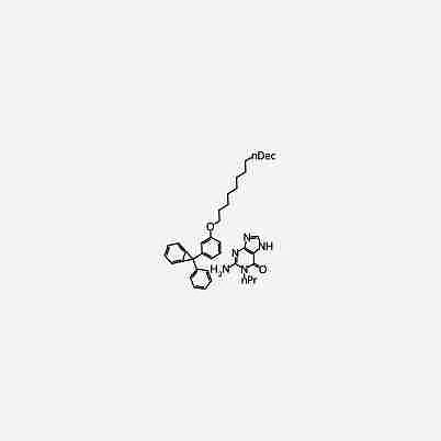 CCCCCCCCCCCCCCCCCCOc1cccc(C2(c3ccccc3)c3ccccc32)c1.CCCn1c(N)nc2nc[nH]c2c1=O